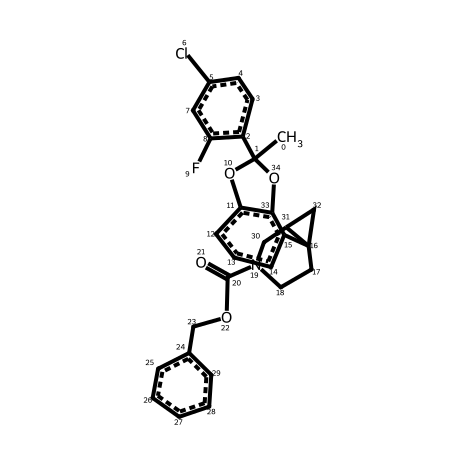 CC1(c2ccc(Cl)cc2F)Oc2cccc(C34CCN(C(=O)OCc5ccccc5)CC3C4)c2O1